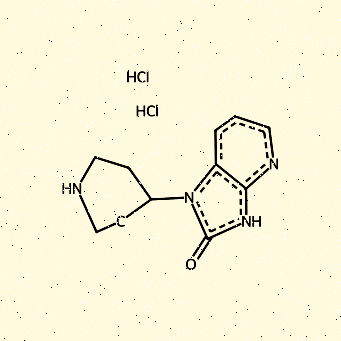 Cl.Cl.O=c1[nH]c2ncccc2n1C1CCNCC1